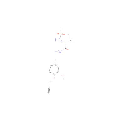 C#CCOc1ccc(CONC(=O)[C@@H](NS(C)(=O)=O)C(C)C)cc1OC